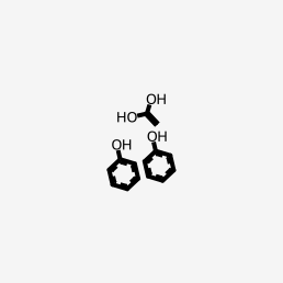 C=C(O)O.Oc1ccccc1.Oc1ccccc1